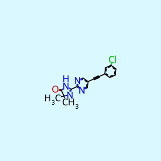 CC1(C)N=C(c2ncc(C#Cc3cccc(Cl)c3)cn2)NC1=O